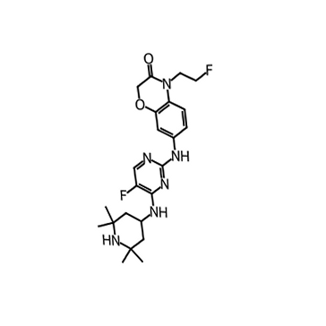 CC1(C)CC(Nc2nc(Nc3ccc4c(c3)OCC(=O)N4CCF)ncc2F)CC(C)(C)N1